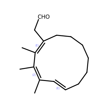 CC1=C(C)/C(C)=C(/CC=O)CCCCCC\C=C\1